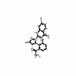 Cc1cc(-c2c(C)cccc2C(N)=O)n(-c2nc3cc(F)ccc3c(=O)[nH]2)n1